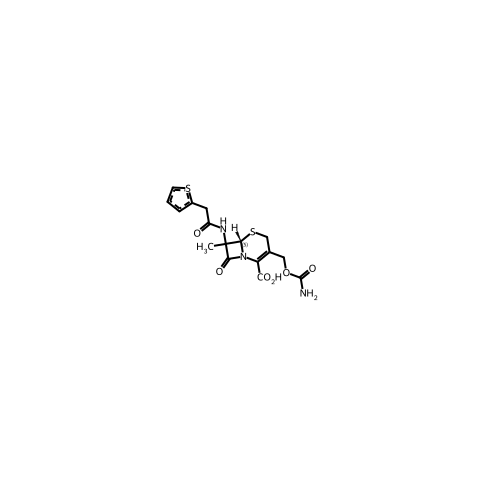 CC1(NC(=O)Cc2cccs2)C(=O)N2C(C(=O)O)=C(COC(N)=O)CS[C@H]21